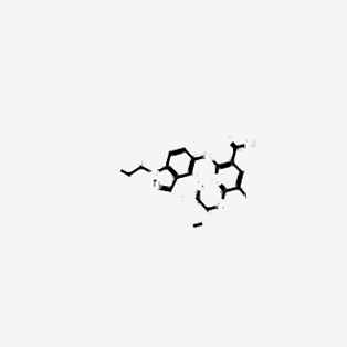 CC(C)C[C@@H](Nc1nc(Nc2ccc3c(cnn3CCF)c2)c(C(N)=O)cc1F)[C@H](C)N